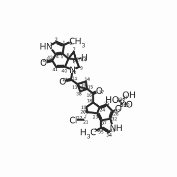 Cc1c[nH]c2c1C13C[C@@H]1CN(C(=O)C14CC(C(=O)C5C[C@@H](CCl)c6c5cc(OP(=O)(O)O)c5[nH]cc(C)c65)(C1)C4)C3=CC2=O